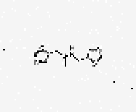 c1ncc(CNNCc2cncs2)s1